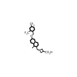 Cc1c(CN2CC(C(=O)O)C2)ccc2cc(OCc3ccc(C(F)(F)F)cc3C(F)(F)F)ccc12